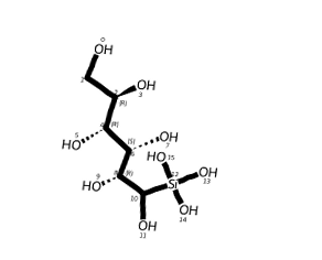 OC[C@@H](O)[C@@H](O)[C@H](O)[C@@H](O)C(O)[Si](O)(O)O